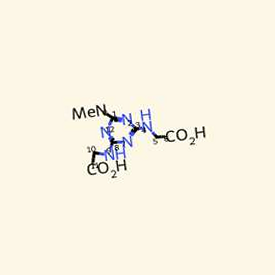 CNc1nc(NCC(=O)O)nc(NCC(=O)O)n1